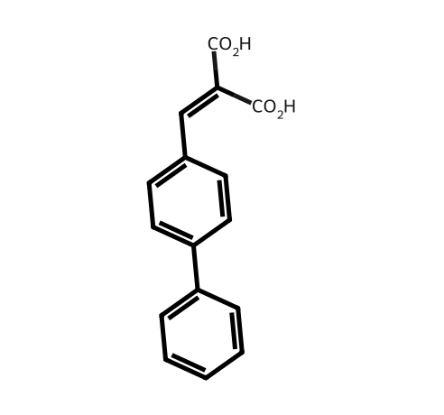 O=C(O)C(=Cc1ccc(-c2ccccc2)cc1)C(=O)O